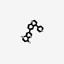 O=c1cc[nH]c2cc(-c3ccc4nccc(-c5ccncc5)c4c3)cnc12